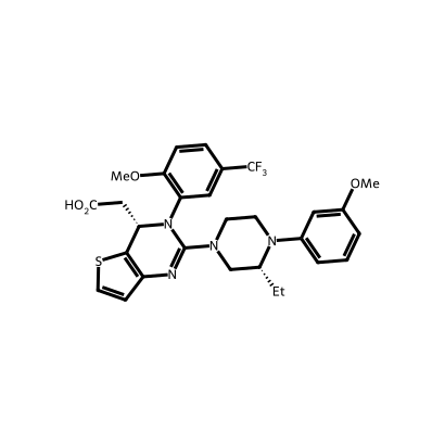 CC[C@@H]1CN(C2=Nc3ccsc3[C@H](CC(=O)O)N2c2cc(C(F)(F)F)ccc2OC)CCN1c1cccc(OC)c1